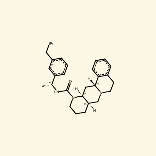 CC(C)Cc1cccc([C@@H](C)NC(=O)N2CCC[C@@H]3CN4CCc5ccccc5[C@H]4C[C@@H]32)c1